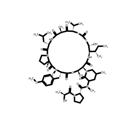 CC[C@H](C)[C@H]1NC(=O)[C@@H](N2CC(C)CC(N(C)C(=O)[C@@H]3CCCN3C(=O)[C@H](C)O)C2=O)[C@@H](C)OC(=O)[C@H](Cc2ccc(OC)cc2)N(C)C(=O)[C@@H]2CCCN2C(=O)[C@H](CC(C)C)NC(=O)[C@@H](C)C(=O)[C@H](C(C)C)CC(=O)C[C@@H]1O